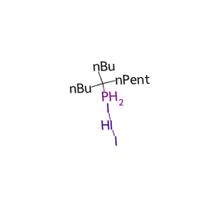 CCCCCC(P)(CCCC)CCCC.I[IH]I